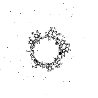 CCCC[C@H]1C(=O)N2CCC[C@@H]2C(=O)N[C@@H](CC(=O)O)C(=O)N[C@@H](C(C)C)C(=O)N(C)[C@@H](Cc2ccccc2)C(=O)N[C@@H](CCC(=O)O)C(=O)N2CCOC[C@@H]2C(=O)N[C@@H](Cc2c[nH]c3ccccc23)C(=O)N[C@@H](Cc2ccc(O)cc2)C(=O)N[C@@H](CCC(N)=O)C(=O)N[C@H](C(=O)NCC(N)=O)CSCC(=O)N[C@@H](Cc2cc(F)c(F)c(F)c2)C(=O)N(C)[C@@H](Cc2ccc(F)cc2)C(=O)N1C